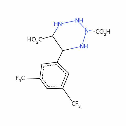 O=C(O)C1NNN(C(=O)O)NC1c1cc(C(F)(F)F)cc(C(F)(F)F)c1